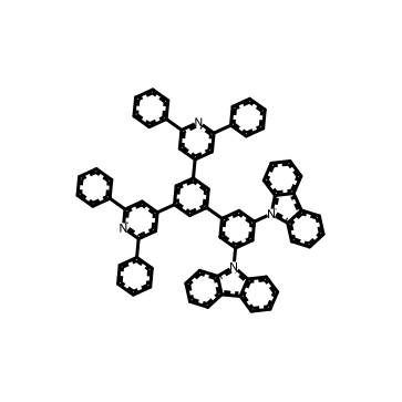 c1ccc(-c2cc(-c3cc(-c4cc(-n5c6ccccc6c6ccccc65)cc(-n5c6ccccc6c6ccccc65)c4)cc(-c4cc(-c5ccccc5)nc(-c5ccccc5)c4)c3)cc(-c3ccccc3)n2)cc1